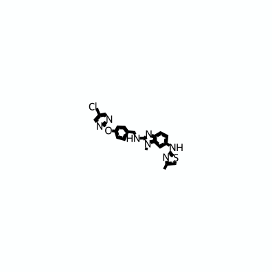 Cc1csc(Nc2ccc3nc(NCc4ccc(Oc5ncc(Cl)cn5)cc4)n(C)c3c2)n1